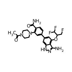 CC(=O)N1CCN(c2cc(-c3cc(OC(CF)C(F)F)c4c(N)n[nH]c4c3)ccc2C(N)=O)CC1